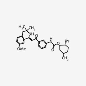 COc1ccc2c(c1)C(=CC(=O)c1cccc(NC(=O)O[C@@H]3C[C@H](C)CC[C@H]3C(C)C)c1)NC(C)(C)C2